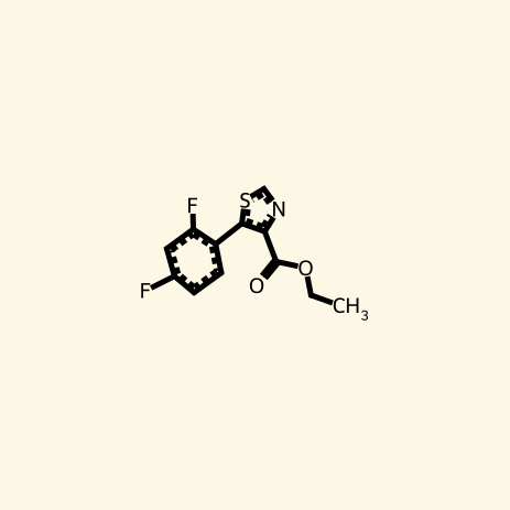 CCOC(=O)c1ncsc1-c1ccc(F)cc1F